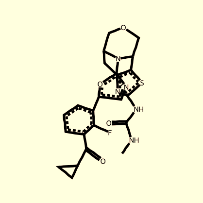 CNC(=O)Nc1nc2c(s1)C1COCC(C2)N1c1ncc(-c2cccc(C(=O)C3CC3)c2F)o1